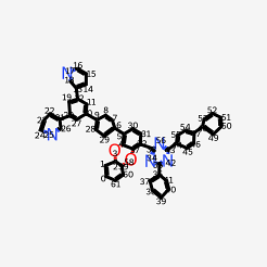 C1=CC2Oc3c(-c4ccc(-c5cc(-c6cccnc6)cc(-c6cccnc6)c5)cc4)ccc(-c4nc(-c5ccccc5)nc(-c5ccc(-c6ccccc6)cc5)n4)c3OC2C=C1